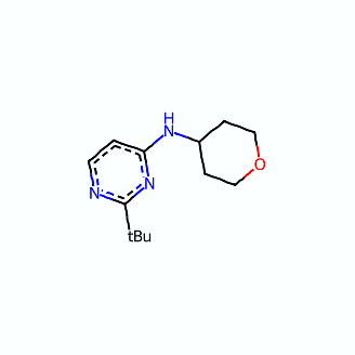 CC(C)(C)c1nccc(NC2CCOCC2)n1